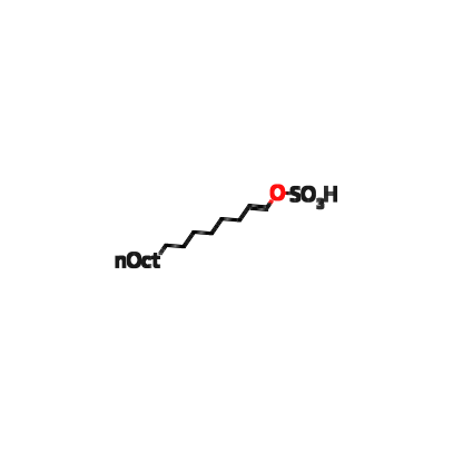 CCCCCCCCCCCCCC/C=C/OS(=O)(=O)O